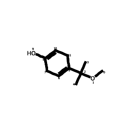 COC(C)(C)C1=CCC(O)=CC1